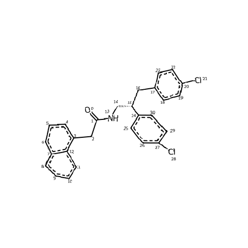 O=C(Cc1cccc2ccccc12)NC[C@H](Cc1ccc(Cl)cc1)c1ccc(Cl)cc1